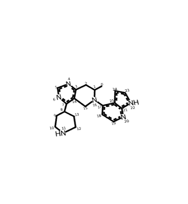 CC1Cc2ncnc(C3CCNCC3)c2CN1c1ccnc2[nH]ccc12